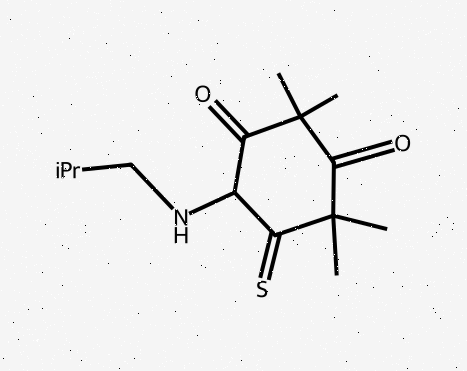 CC(C)CNC1C(=O)C(C)(C)C(=O)C(C)(C)C1=S